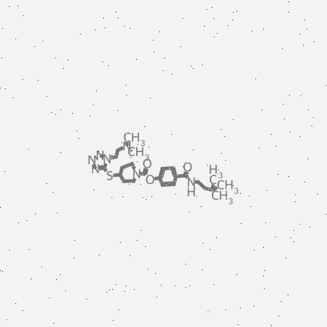 CN(C)CCn1nnnc1SC1CCN(C(=O)Oc2ccc(C(=O)NCCC(C)(C)C)cc2)CC1